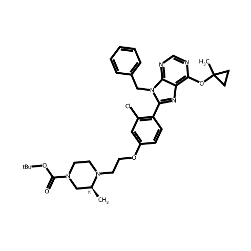 C[C@H]1CN(C(=O)OC(C)(C)C)CCN1CCOc1ccc(-c2nc3c(OC4(C)CC4)ncnc3n2Cc2ccccc2)c(Cl)c1